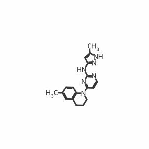 Cc1ccc2c(c1)CCCN2c1ccnc(Nc2cc(C)[nH]n2)n1